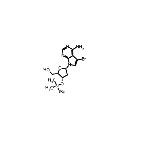 CC(C)(C)[Si](C)(C)O[C@H]1C[C@H](n2cc(Br)c3c(N)ncnc32)O[C@@H]1CO